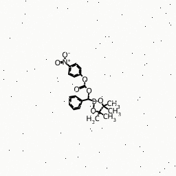 CC1(C)OB(C(OC(=O)Oc2ccc([N+](=O)[O-])cc2)c2ccccc2)OC1(C)C